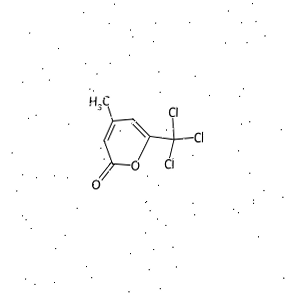 Cc1cc(C(Cl)(Cl)Cl)oc(=O)c1